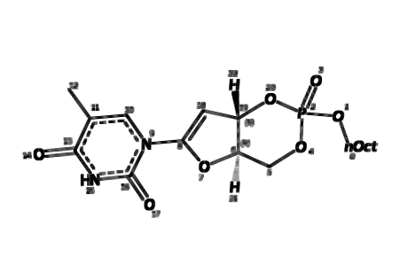 CCCCCCCCOP1(=O)OC[C@H]2OC(n3cc(C)c(=O)[nH]c3=O)=C[C@@H]2O1